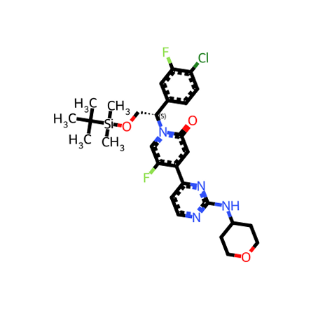 CC(C)(C)[Si](C)(C)OC[C@H](c1ccc(Cl)c(F)c1)n1cc(F)c(-c2ccnc(NC3CCOCC3)n2)cc1=O